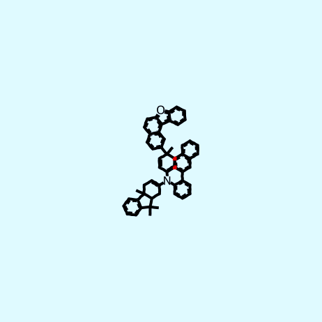 CC1(c2ccc3ccc4oc5ccccc5c4c3c2)C=CC(N(C2=CCC3(C)c4ccccc4C(C)(C)C3C2)c2ccccc2-c2ccc3ccccc3c2)=CC1